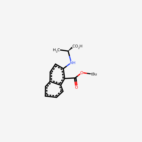 C[C@H](Nc1ccc2ccccc2c1C(=O)OC(C)(C)C)C(=O)O